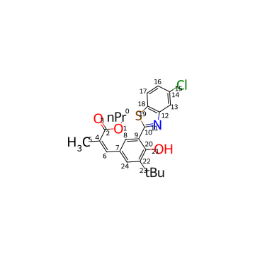 CCCOC(=O)C(C)=Cc1cc(-c2nc3cc(Cl)ccc3s2)c(O)c(C(C)(C)C)c1